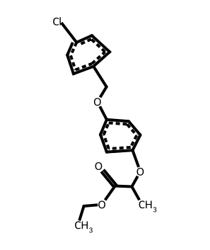 CCOC(=O)C(C)Oc1ccc(OCc2ccc(Cl)cc2)cc1